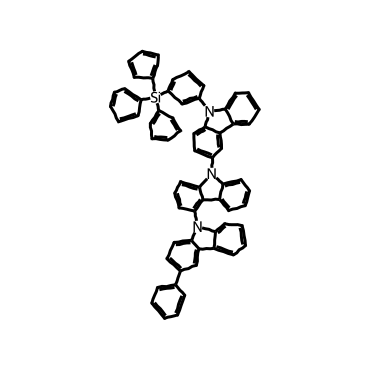 c1ccc(-c2ccc3c(c2)c2ccccc2n3-c2cccc3c2c2ccccc2n3-c2ccc3c(c2)c2ccccc2n3-c2cccc([Si](c3ccccc3)(c3ccccc3)c3ccccc3)c2)cc1